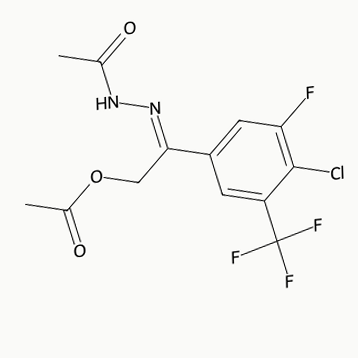 CC(=O)N/N=C(\COC(C)=O)c1cc(F)c(Cl)c(C(F)(F)F)c1